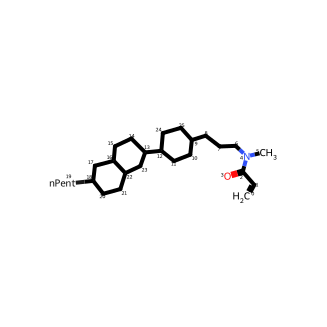 C=CC(=O)N(C)CCCC1CCC(C2CCC3CC(CCCCC)CCC3C2)CC1